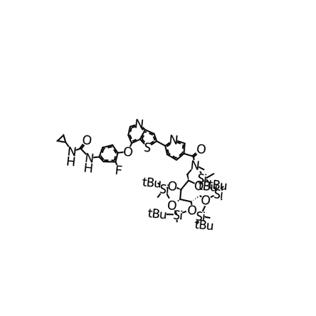 CN(C[C@@H](O[Si](C)(C)C(C)(C)C)[C@H](O[Si](C)(C)C(C)(C)C)[C@@H](O[Si](C)(C)C(C)(C)C)[C@H](CO[Si](C)(C)C(C)(C)C)O[Si](C)(C)C(C)(C)C)C(=O)c1ccc(-c2cc3nccc(Oc4ccc(NC(=O)NC5CC5)cc4F)c3s2)nc1